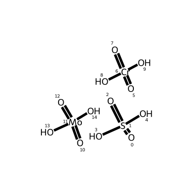 O=S(=O)(O)O.[O]=[Cr](=[O])([OH])[OH].[O]=[Mo](=[O])([OH])[OH]